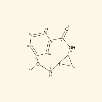 CONC1CC1.O=C(O)c1ccccn1